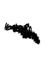 N#Cc1cc(-c2ncnc(Nc3ccc(C4CCN(C5COC5)CC4)cc3)n2)ccc1O[C@H]1CCN(C(=O)[C@@H](O)CO)C[C@@H]1F